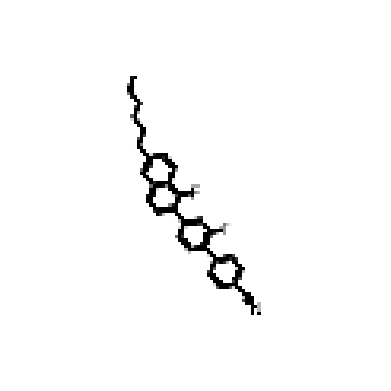 CCCCCCc1ccc2c(F)c(-c3ccc(-c4ccc(C#N)cc4)c(F)c3)ccc2c1